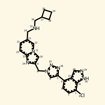 Clc1ccc(-c2cn(Cc3cn4cc(CNCC5CCC5)ccc4n3)nn2)c2cn[nH]c12